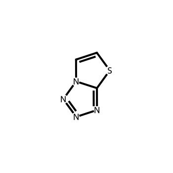 c1cn2nnnc2s1